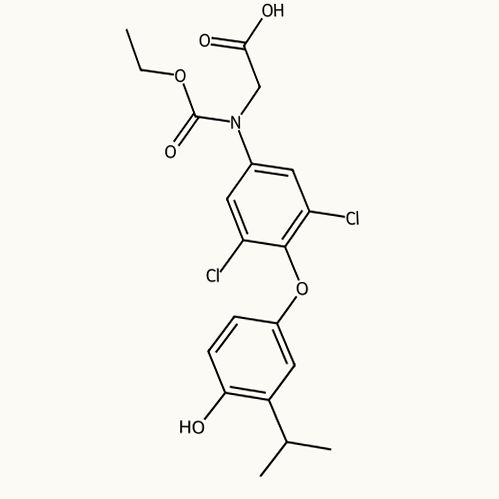 CCOC(=O)N(CC(=O)O)c1cc(Cl)c(Oc2ccc(O)c(C(C)C)c2)c(Cl)c1